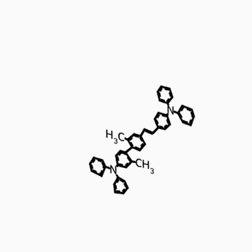 Cc1cc(C=Cc2ccc(N(c3ccccc3)c3ccccc3)cc2)ccc1-c1ccc(N(c2ccccc2)c2ccccc2)cc1C